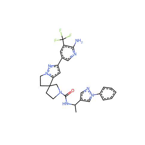 CC(NC(=O)N1CCC2(CCn3nc(-c4cnc(N)c(C(F)(F)F)c4)cc32)C1)c1cnn(-c2ccccc2)c1